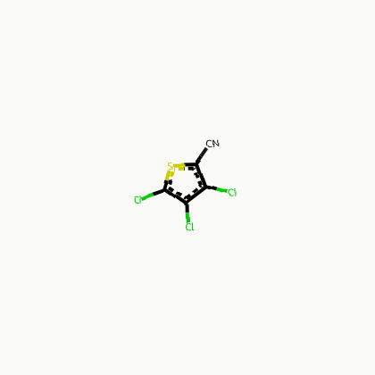 N#Cc1sc(Cl)c(Cl)c1Cl